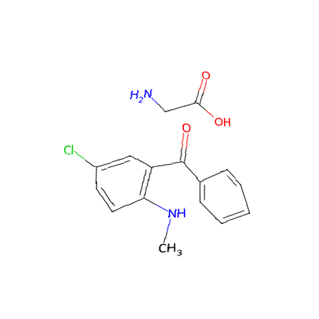 CNc1ccc(Cl)cc1C(=O)c1ccccc1.NCC(=O)O